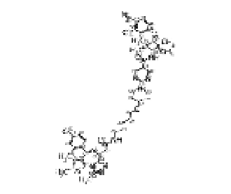 Cc1sc2c(c1C)C(c1ccc(Cl)cc1)=N[C@@H](CC(=O)NCCCCCOC1CCN(c3ncc(C(=O)NC4C(C)(C)C(Oc5ccc(C#N)c(Cl)c5)C4(C)C)cn3)CC1)c1nnc(C)n1-2